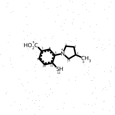 CC1CCN(c2cc(C(=O)O)ccc2S)C1